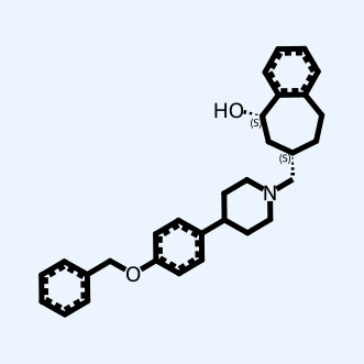 O[C@H]1C[C@@H](CN2CCC(c3ccc(OCc4ccccc4)cc3)CC2)CCc2ccccc21